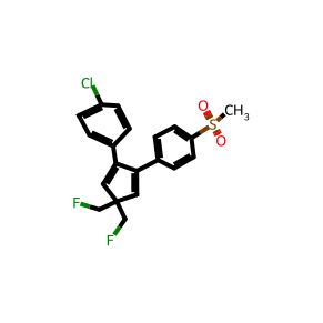 CS(=O)(=O)c1ccc(C2=CC(CF)(CF)C=C2c2ccc(Cl)cc2)cc1